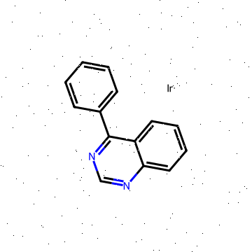 [Ir].c1ccc(-c2ncnc3ccccc23)cc1